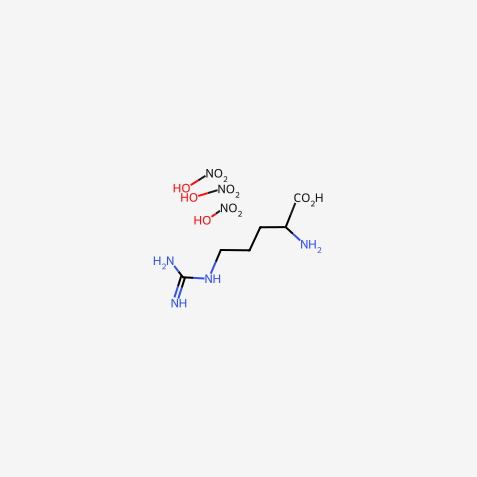 N=C(N)NCCCC(N)C(=O)O.O=[N+]([O-])O.O=[N+]([O-])O.O=[N+]([O-])O